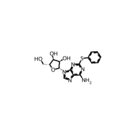 Nc1nc(Sc2ccccc2)nc2c1ncn2[C@@H]1O[C@H](CO)[C@@H](O)[C@H]1O